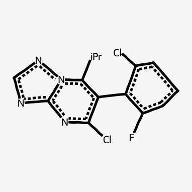 CC(C)c1c(-c2c(F)cccc2Cl)c(Cl)nc2ncnn12